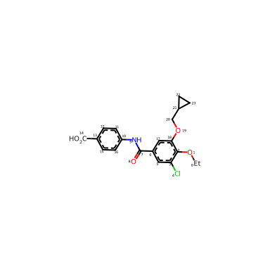 CCOc1c(Cl)cc(C(=O)Nc2ccc(C(=O)O)cc2)cc1OCC1CC1